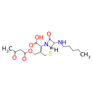 CCCCCNC1C(=O)N2C(C(=O)O)=C(COC(=O)CC(C)=O)CS[C@H]12